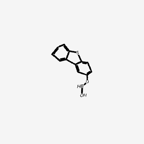 OBOc1ccc2sc3ccccc3c2c1